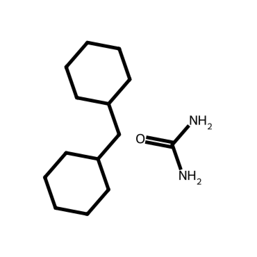 C1CCC(CC2CCCCC2)CC1.NC(N)=O